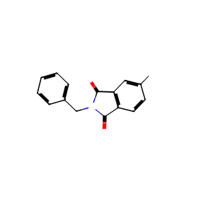 O=C(O)c1ccc2c(c1)C(=O)N(Cc1ccccc1)C2=O